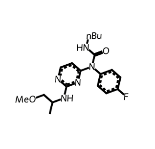 CCCCNC(=O)N(c1ccc(F)cc1)c1ccnc(NC(C)COC)n1